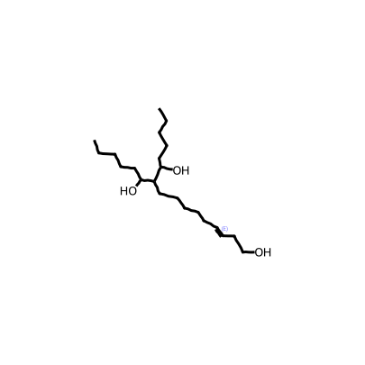 CCCCCC(O)C(CCCCC/C=C/CCO)C(O)CCCCC